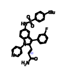 CC(C)(C)c1ccc(S(=O)(=O)Nc2ccc3c(c2)c(-c2cccc(F)c2)c(/C=C/C(N)=O)n3-c2ccncc2)cc1